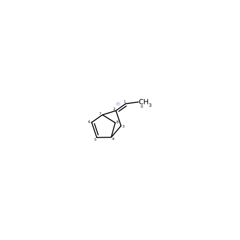 C/C=C1\CC2C=CC1C2